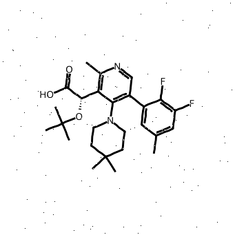 Cc1cc(F)c(F)c(-c2cnc(C)c([C@H](OC(C)(C)C)C(=O)O)c2N2CCC(C)(C)CC2)c1